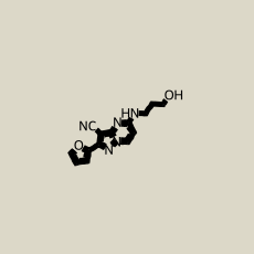 N#Cc1c(-c2ccco2)nn2ccc(NCCCO)nc12